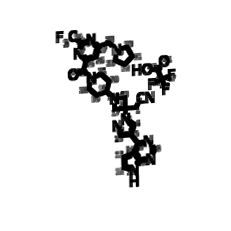 N#CCC1(n2cc(-c3ncnc4[nH]ccc34)cn2)CN(C2CCN(C(=O)c3cc(CN4CCCC4)nc(C(F)(F)F)n3)CC2)C1.O=C(O)C(F)(F)F